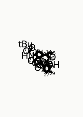 COC(=O)c1c(NC(=O)OC(C)(C)C)ccc(-c2ccoc2CO)c1OS(=O)(=O)c1ccc(C)cc1